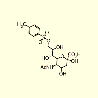 CC(=O)N[C@H]1C([C@H](O)[C@H](O)COS(=O)(=O)c2ccc(C)cc2)O[C@](O)(C(=O)O)C[C@H]1O